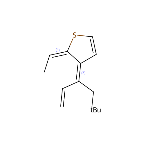 C=C/C(CC(C)(C)C)=c1/ccs/c1=C/C